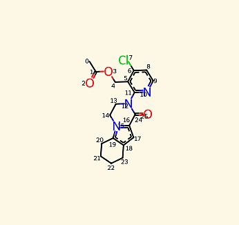 CC(=O)OCc1c(Cl)ccnc1N1CCn2c(cc3c2CCCC3)C1=O